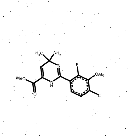 COC(=O)C1=CC(C)(N)N=C(c2ccc(Cl)c(OC)c2F)N1